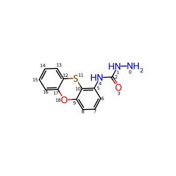 NNC(=O)Nc1cccc2c1Sc1ccccc1O2